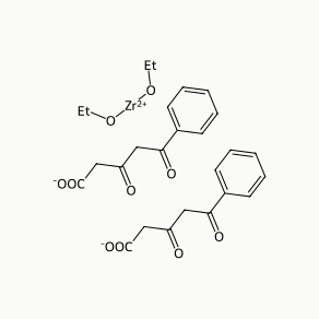 CC[O][Zr+2][O]CC.O=C([O-])CC(=O)CC(=O)c1ccccc1.O=C([O-])CC(=O)CC(=O)c1ccccc1